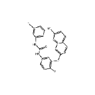 N#Cc1cnc2ccc(Oc3cc(NC(=O)Nc4cccc(F)c4)ccc3F)cc2n1